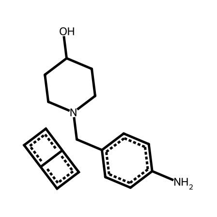 Nc1ccc(CN2CCC(O)CC2)cc1.c1cc2ccc1-2